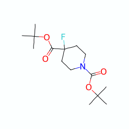 CC(C)(C)OC(=O)N1CCC(F)(C(=O)OC(C)(C)C)CC1